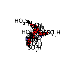 Cc1cc(Nc2nc(NCc3cccc(CNc4n[nH]c(Nc5cc(C)c(/N=N\c6ccc(N=Nc7ccc(S(=O)(=O)O)cc7)cc6S(=O)(=O)O)cc5OCCCS(=O)(=O)O)n4)c3)nc(Nc3cc(C)c(/N=N\C4=CC=C(N=Nc5ccc(S(=O)(=O)O)cc5)CC4S(=O)(=O)O)cc3OCCCS(=O)(=O)O)n2)c(OCCCS(=O)(=O)O)cc1N=Nc1ccc(N=Nc2ccc(S(=O)(=O)O)cc2)cc1S(=O)(=O)O